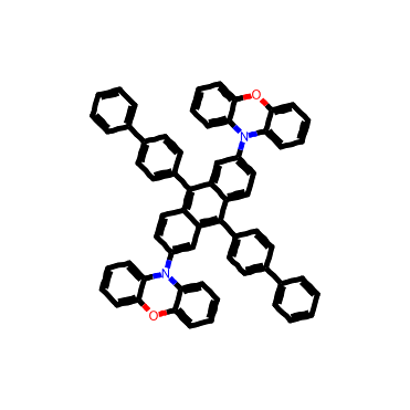 c1ccc(-c2ccc(-c3c4ccc(N5c6ccccc6Oc6ccccc65)cc4c(-c4ccc(-c5ccccc5)cc4)c4ccc(N5c6ccccc6Oc6ccccc65)cc34)cc2)cc1